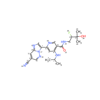 CC(C)Nc1cc(-c2cnc3cc(C#N)cnn23)ncc1C(=O)NCC(F)C(C)(C)O